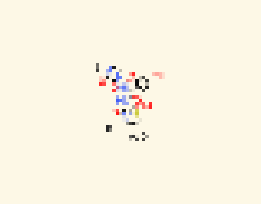 CCN1CCN(C(=O)NC(C(=O)N[C@@H]2C(=O)N3C(C(=O)O)=C(COC(C)=O)CSC23CO)c2ccc(O)cc2)C(=O)C1=O